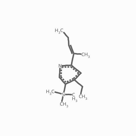 CC/C=C(\C)c1cc(CC)c([Si](C)(C)C)cn1